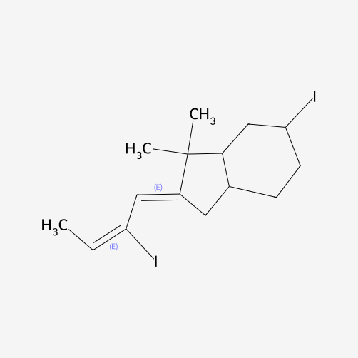 C/C=C(I)\C=C1/CC2CCC(I)CC2C1(C)C